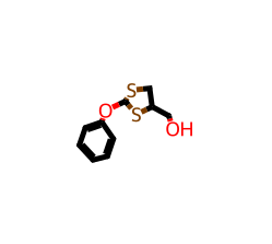 OCC1CSC(Oc2ccccc2)S1